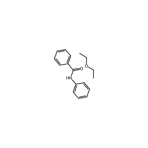 CCOCC.O=C(Nc1ccccc1)c1ccccc1